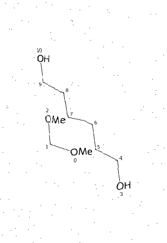 COCOC.OCCCCCCO